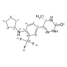 C[C@@H]1NC(=O)NN=C1c1ccc(NC2CCCC2)c(C(F)(F)F)c1